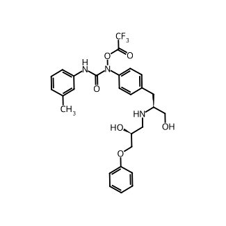 Cc1cccc(NC(=O)N(OC(=O)C(F)(F)F)c2ccc(C[C@@H](CO)NC[C@H](O)COc3ccccc3)cc2)c1